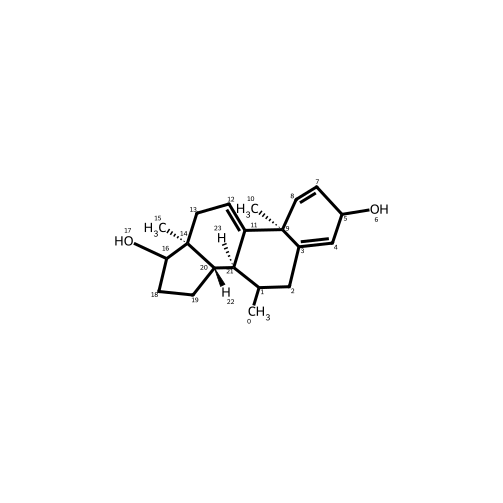 CC1CC2=CC(O)C=C[C@]2(C)C2=CC[C@]3(C)C(O)CC[C@H]3[C@@H]21